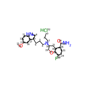 CCCN(CCCc1c[nH]c2ccc(OC)cc12)C1COc2c(F)ccc(C(N)=O)c2C1.Cl